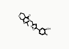 Cc1nc2c(c(=O)n1Cc1cc(-c3ccc(F)c(O)c3)on1)CCOC2